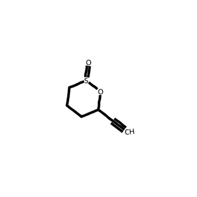 C#CC1CCCS(=O)O1